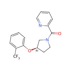 O=C(c1ccccn1)N1CC[C@@H](Oc2ccccc2C(F)(F)F)C1